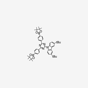 CC(C)(C)c1ccc2c(c1)c1cc(C(C)(C)C)ccc1n2-c1nc(-c2ccc(B3OC(C)(C)C(C)(C)O3)cc2)nc(-c2ccc(B3OC(C)(C)C(C)(C)O3)cc2)n1